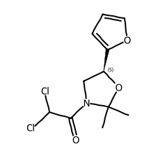 CC1(C)O[C@H](c2ccco2)CN1C(=O)C(Cl)Cl